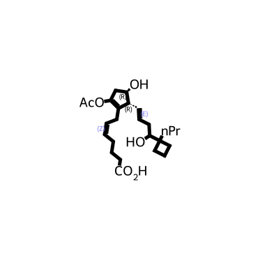 CCCC1(C(O)C/C=C/[C@@H]2C(C/C=C\CCCC(=O)O)=C(OC(C)=O)C[C@H]2O)CCC1